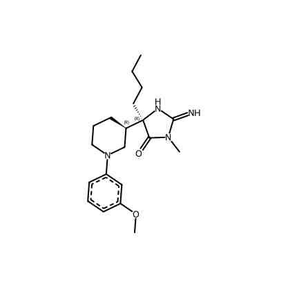 CCCC[C@]1([C@@H]2CCCN(c3cccc(OC)c3)C2)NC(=N)N(C)C1=O